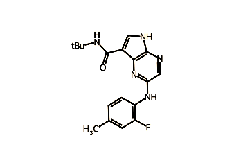 Cc1ccc(Nc2cnc3[nH]cc(C(=O)NC(C)(C)C)c3n2)c(F)c1